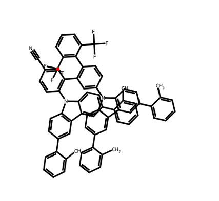 Cc1ccccc1-c1ccc2c(c1)c1cc(-c3ccccc3C)ccc1n2-c1ccc(-c2c(C(F)(F)F)cccc2C(F)(F)F)c(-c2cc(C#N)ccc2-n2c3ccc(-c4ccccc4C)cc3c3cc(-c4ccccc4C)ccc32)c1